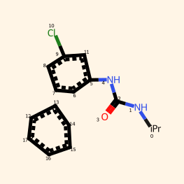 CC(C)NC(=O)Nc1cccc(Cl)c1.c1ccccc1